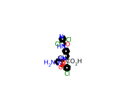 CC1(C(=O)N[C@@H](Cc2ccc(NC(=O)c3c(Cl)cncc3Cl)cc2)C(=O)O)C[C@@H](N)CN1S(=O)(=O)c1cccc(Cl)c1